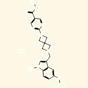 COc1ccc2c(c1)c(CN1CC3(C1)CN(c1ncc(C(=O)NO)cn1)C3)cn2C.Cl